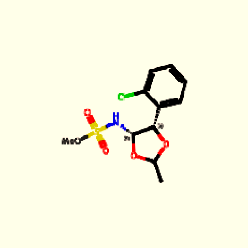 COS(=O)(=O)N[C@H]1OC(C)O[C@H]1c1ccccc1Cl